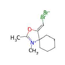 CC1=[N+](C)C2(CCCCC2)C(=CBr)O1.[Br-]